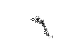 CCc1nc2sc(N3CC4(CCN(CC(=O)N5CC(O)C5)CC4)C3)nn2c1N(C)c1nc(-c2ccc(C)cc2)c(C#N)s1